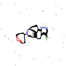 FC1=c2ccc3c4c(ccc-4c2NN=C1)=NN(C1CCOCC1)C3